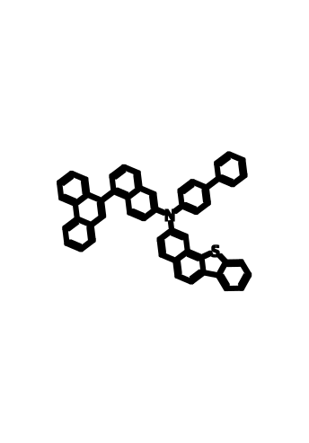 c1ccc(-c2ccc(N(c3ccc4c(-c5cc6ccccc6c6ccccc56)cccc4c3)c3ccc4ccc5c6ccccc6sc5c4c3)cc2)cc1